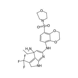 CCC1(N)C=C(Nc2ccc(S(=O)(=O)N3CCOCC3)c3c2OCCO3)N=C2NCC(C(F)(F)F)=C21